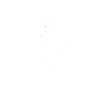 CC(C)(C)c1cc(C(C)(C)C)c(C(C)(C)C)[nH]1.CC(C)(C)c1cc(C(C)(C)C)c(C(C)(C)C)[nH]1.[BaH2]